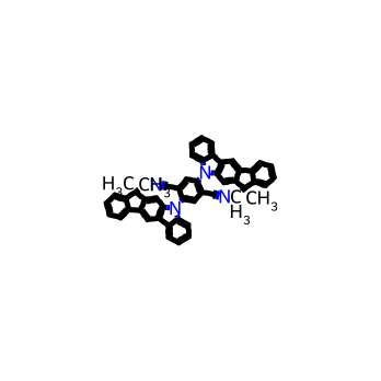 CC1(C)c2ccccc2-c2cc3c4ccccc4n(-c4cc(C#N)c(-n5c6ccccc6c6cc7c(cc65)C(C)(C)c5ccccc5-7)cc4C#N)c3cc21